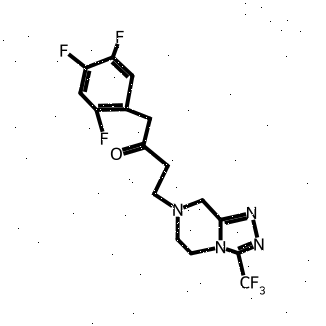 O=C(CCN1CCn2c(nnc2C(F)(F)F)C1)Cc1cc(F)c(F)cc1F